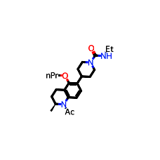 CCCOc1c(C2CCN(C(=O)NCC)CC2)ccc2c1CC[C@H](C)N2C(C)=O